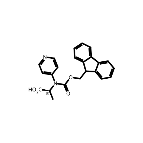 C[C@@H](C(=O)O)N(C(=O)OCC1c2ccccc2-c2ccccc21)c1ccncc1